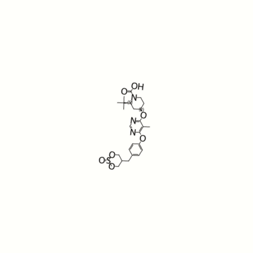 Cc1c(Oc2ccc(CC3COS(=O)OC3)cc2)ncnc1O[C@@H]1CCN(C(=O)O)[C@H](C(C)(C)C)C1